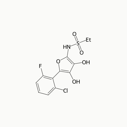 CCS(=O)(=O)Nc1oc(-c2c(F)cccc2Cl)c(O)c1O